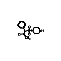 C=C(Cl)C(c1ccccc1)S(=O)(=O)N1CCNCC1